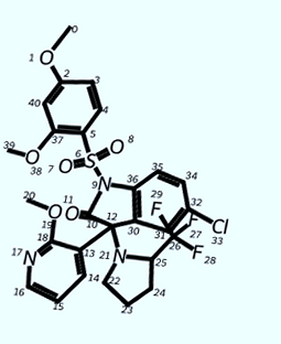 COc1ccc(S(=O)(=O)N2C(=O)C(c3cccnc3OC)(N3CCCC3C(F)(F)F)c3cc(Cl)ccc32)c(OC)c1